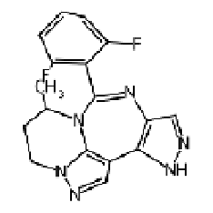 CC1CCn2ncc3c2N1C(c1c(F)cccc1F)=Nc1cn[nH]c1-3